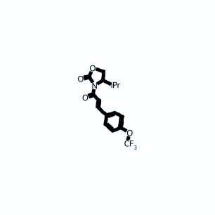 CC(C)C1COC(=O)N1C(=O)C=Cc1ccc(OC(F)(F)F)cc1